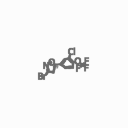 FC(F)(F)Oc1ccc([C@H]2CC(Br)=NO2)cc1Cl